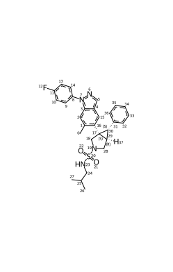 Cc1cc2c(cnn2-c2ccc(F)cc2)cc1[C@@]12CN(S(=O)(=O)NCC(C)C)C[C@@H]1[C@H]2c1ccccc1